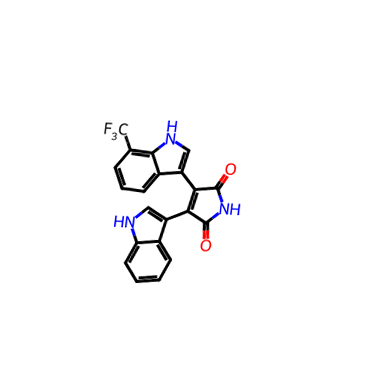 O=C1NC(=O)C(c2c[nH]c3c(C(F)(F)F)cccc23)=C1c1c[nH]c2ccccc12